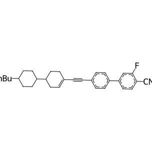 CCCCC1CCC(C2CC=C(C#Cc3ccc(-c4ccc(C#N)c(F)c4)cc3)CC2)CC1